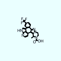 Cc1c[nH]c2nccc(-c3c(-c4ccc(C(F)(F)F)cc4)nn4c3C(C)N(C(=O)O)CC4)c12